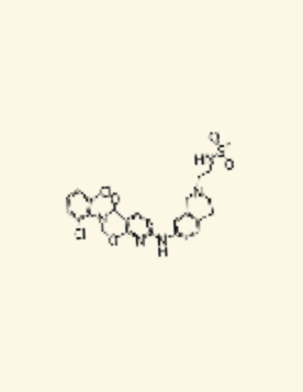 CS(=O)(=O)NCCN1CCc2ccc(Nc3ncc4c(n3)OCN(c3c(Cl)cccc3Cl)C4=O)cc2C1